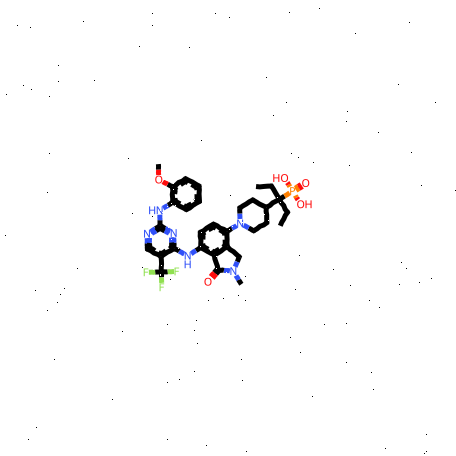 CCC(CC)(C1CCN(c2ccc(Nc3nc(Nc4ccccc4OC)ncc3C(F)(F)F)c3c2CN(C)C3=O)CC1)P(=O)(O)O